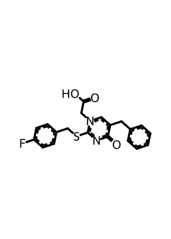 O=C(O)Cn1cc(Cc2ccccc2)c(=O)nc1SCc1ccc(F)cc1